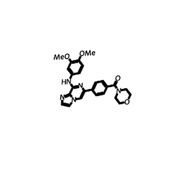 COc1ccc(Nc2nc(-c3ccc(C(=O)N4CCOCC4)cc3)cn3ccnc23)cc1OC